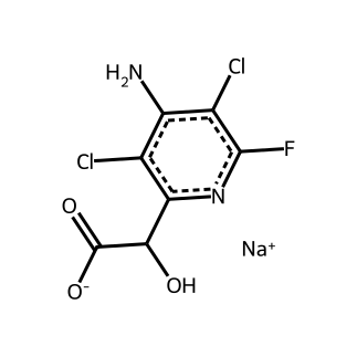 Nc1c(Cl)c(F)nc(C(O)C(=O)[O-])c1Cl.[Na+]